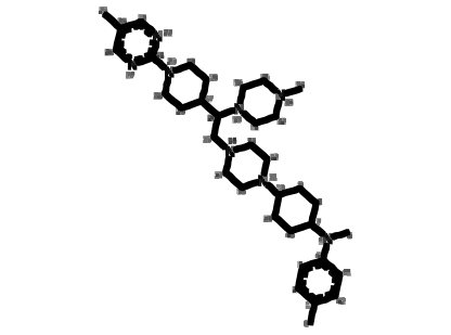 Cc1ccc(N(C)C2CCC(N3CCN(CC(C4CCN(c5ncc(C)cn5)CC4)N4CCN(C)CC4)CC3)CC2)cc1